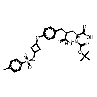 Cc1ccc(S(=O)(=O)OC2CC(Oc3ccc(C[C@@H](C[C@@H](NC(=O)OC(C)(C)C)C(=O)O)C(=O)O)cc3)C2)cc1